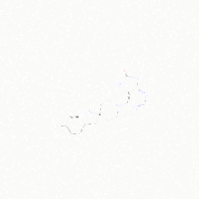 NC1(Cc2ccc(Cl)cc2)CCN(c2ncnc3[nH]c(=O)[nH]c23)CC1